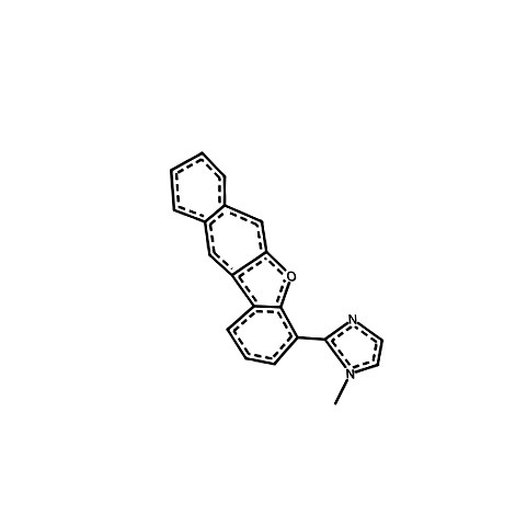 Cn1ccnc1-c1cccc2c1oc1cc3ccccc3cc12